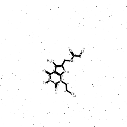 CCn1c(=O)c2c(C)c(CNC(=O)CCl)sc2n(CCC(F)(F)F)c1=O